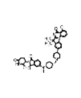 CC1(C)c2cc(C3CCN(C[C@H]4CC[C@@H](Nc5ccc6c(c5)C(=O)N(C5CCC(=O)NC5=O)C6=O)CC4)CC3)ccc2-n2c1nc(=O)c1c(Cl)cccc12